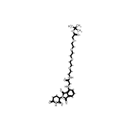 CC(C)(C)OC(=O)COCCOCCOCCOCCNC(=O)CNc1cccc2c1C(=O)N(C1CCC(=O)NC1=O)C2=O